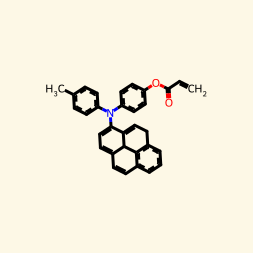 C=CC(=O)Oc1ccc(N(C2=CC=C3C=Cc4cccc5c4C3C2=CC5)c2ccc(C)cc2)cc1